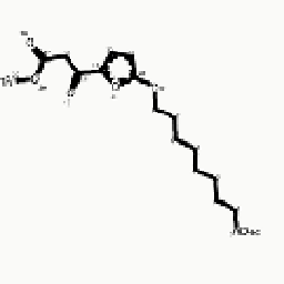 CCCCCCCCCCCCCCCCCCOc1ccc(C(=O)CC(=O)OCCC)o1